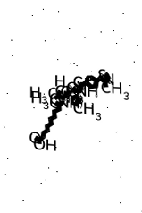 Cc1ncsc1-c1ccc([C@H](C)NC(=O)[C@@H]2C[C@@H](C)CN2C(=O)[C@@H](NC(=O)CCCCCCCCCC(=O)O)C(C)(C)C)cc1